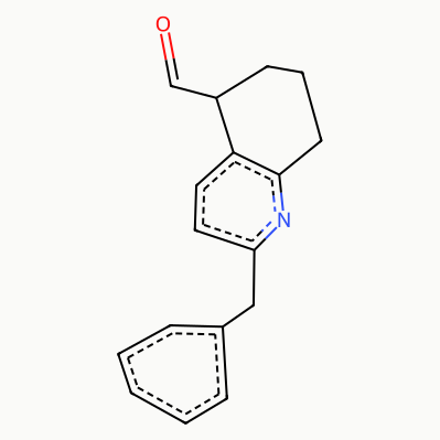 O=CC1CCCc2nc(Cc3ccccc3)ccc21